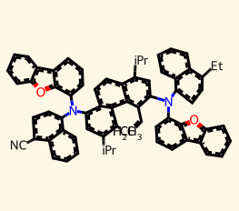 C=Cc1c(N(c2ccc(CC)c3ccccc23)c2cccc3c2oc2ccccc23)cc(C(C)C)c2ccc3c(N(c4ccc(C#N)c5ccccc45)c4cccc5c4oc4ccccc45)cc(C(C)C)c(C)c3c12